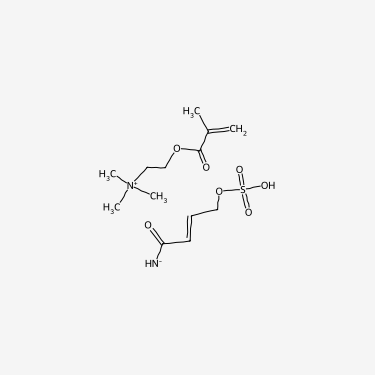 C=C(C)C(=O)OCC[N+](C)(C)C.[NH-]C(=O)C=CCOS(=O)(=O)O